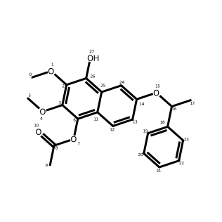 COc1c(OC)c(OC(C)=O)c2ccc(OC(C)c3ccccc3)cc2c1O